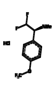 CN[C@@H](c1ccc(OC(F)(F)F)cc1)C(F)F.Cl